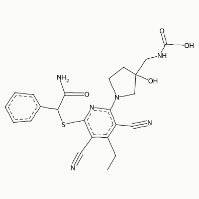 CCc1c(C#N)c(SC(C(N)=O)c2ccccc2)nc(N2CCC(O)(CNC(=O)O)C2)c1C#N